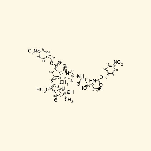 CC(C)C[C@H](NC(=O)OCc1ccc([N+](=O)[O-])cc1)[C@@H](O)CC(=O)N[C@H]1CCN(C(=O)[C@@H]2C[C@H](SC3=C(C(=O)O)N4C(=O)[C@H]([C@@H](C)O)[C@H]4[C@H]3C)CN2C(=O)OCc2ccc([N+](=O)[O-])cc2)C1